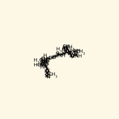 CCN(C=N)C(=N)c1cccc(N2Cc3c(cc(N(C)C(C)C)nc3CNCCNC(=O)CCOCCOCCC(=O)N[C@H](C(=O)N3C[C@H](O)C[C@H]3C(=O)NCc3ccc(-c4scnc4C)cc3)C(C)(C)C)C2=O)n1